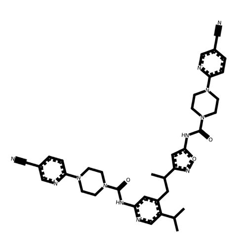 CC(C)c1cnc(NC(=O)N2CCN(c3ccc(C#N)cn3)CC2)cc1CC(C)c1cc(NC(=O)N2CCN(c3ccc(C#N)cn3)CC2)on1